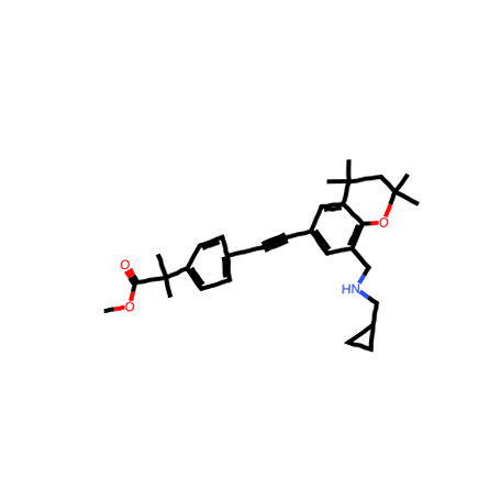 COC(=O)C(C)(C)c1ccc(C#Cc2cc(CNCC3CC3)c3c(c2)C(C)(C)CC(C)(C)O3)cc1